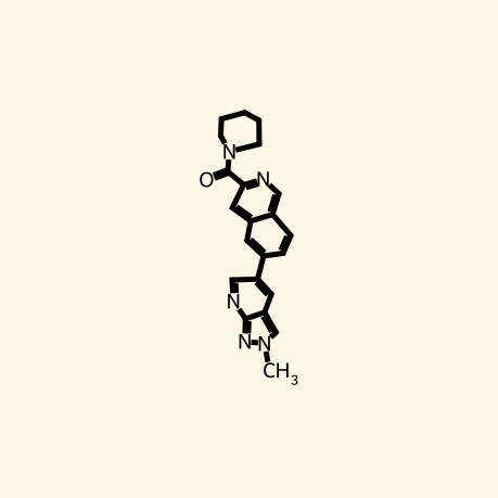 Cn1cc2cc(-c3ccc4cnc(C(=O)N5CCCCC5)cc4c3)cnc2n1